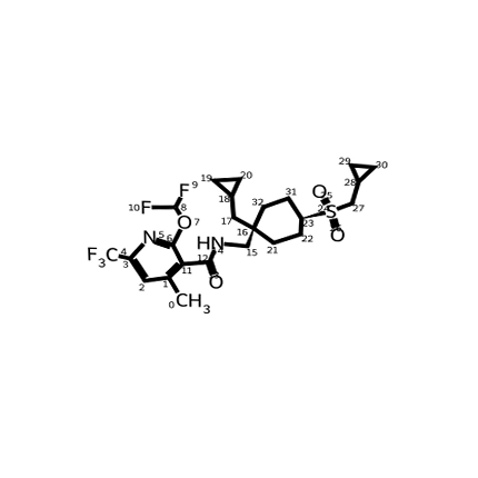 Cc1cc(C(F)(F)F)nc(OC(F)F)c1C(=O)NC[C@]1(CC2CC2)CC[C@H](S(=O)(=O)CC2CC2)CC1